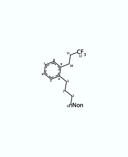 CCCCCCCCCCCCc1ccccc1CCC(F)(F)F